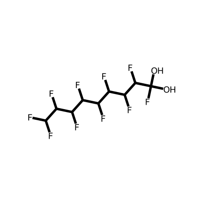 OC(O)(F)C(F)C(F)C(F)C(F)C(F)C(F)C(F)C(F)F